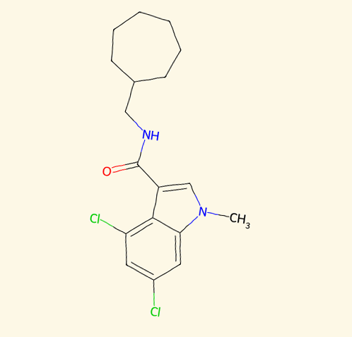 Cn1cc(C(=O)NCC2CCCCCC2)c2c(Cl)cc(Cl)cc21